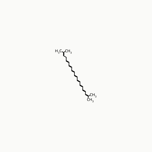 CC(C)=CC=CC=CC=CC=CC=CC=CC=CCC=C(C)C